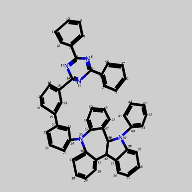 c1ccc(-c2nc(-c3ccccc3)nc(-c3cccc(-c4cccc(N5c6ccccc6C6c7ccccc7N(c7ccccc7)C6c6ccccc65)c4)c3)n2)cc1